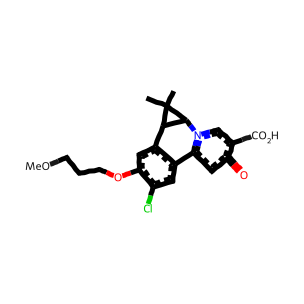 COCCCOc1cc2c(cc1Cl)-c1cc(=O)c(C(=O)O)cn1C1C2C1(C)C